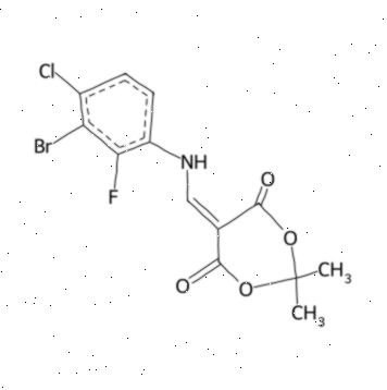 CC1(C)OC(=O)C(=CNc2ccc(Cl)c(Br)c2F)C(=O)O1